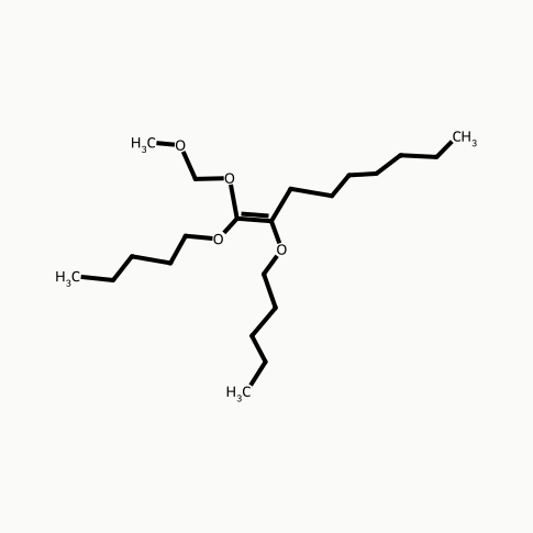 CCCCCCCC(OCCCCC)=C(OCCCCC)OCOC